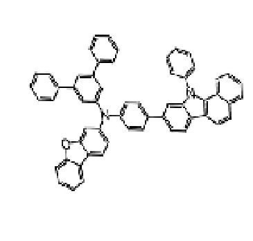 c1ccc(-c2cc(-c3ccccc3)cc(N(c3ccc(-c4ccc5c6ccc7ccccc7c6n(-c6ccccc6)c5c4)cc3)c3ccc4c(c3)oc3ccccc34)c2)cc1